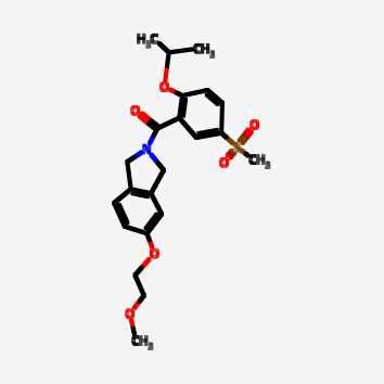 COCCOc1ccc2c(c1)CN(C(=O)c1cc(S(C)(=O)=O)ccc1OC(C)C)C2